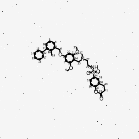 COc1cc(OCc2cccc(-c3ccccc3)c2C)cc(OC)c1CN(C)CCNS(=O)(=O)c1ccc2c(c1)CCC(=O)O2